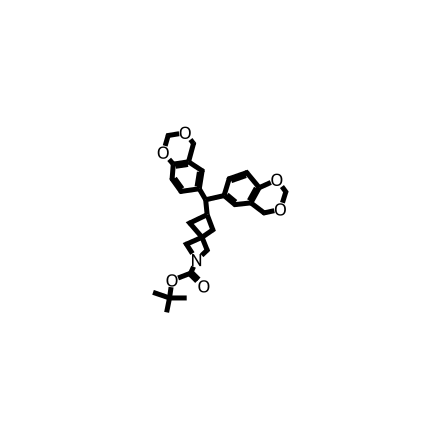 CC(C)(C)OC(=O)N1CC2(CC(C(c3ccc4c(c3)COCO4)c3ccc4c(c3)COCO4)C2)C1